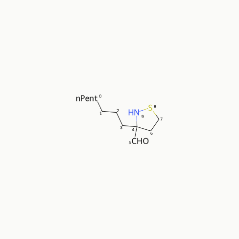 CCCCCCCCC1(C=O)CCSN1